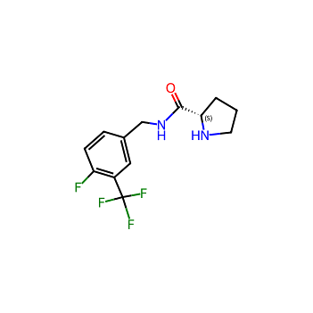 O=C(NCc1ccc(F)c(C(F)(F)F)c1)[C@@H]1CCCN1